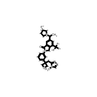 CC(c1cc2c(c(C(F)(F)F)c1)CN(c1cccc(C3(Cc4nncn4C)COC3)c1)C2=O)N1CC[C@H](F)C1